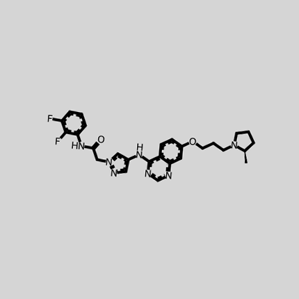 C[C@@H]1CCCN1CCCOc1ccc2c(Nc3cnn(CC(=O)Nc4cccc(F)c4F)c3)ncnc2c1